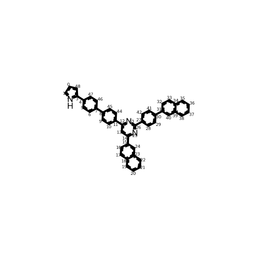 c1c[nH]c(-c2ccc(-c3ccc(-c4cc(-c5ccc6ccccc6c5)nc(-c5ccc(-c6ccc7ccccc7c6)cc5)n4)cc3)cc2)c1